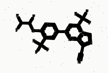 N#Cc1ncn2c(C(F)(F)F)cc(-c3ccc(OC(F)C(F)F)c(C(F)(F)F)c3)nc12